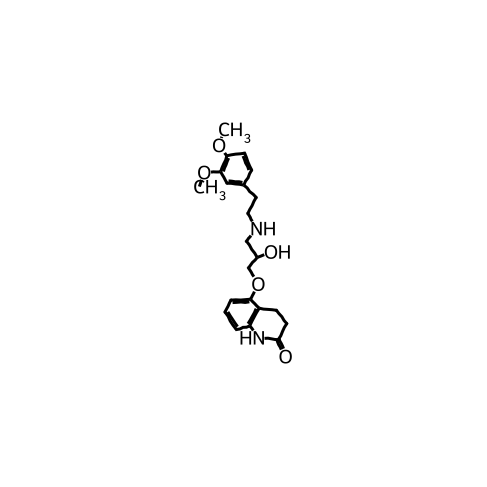 COc1ccc(CCNCC(O)COc2cccc3c2CCC(=O)N3)cc1OC